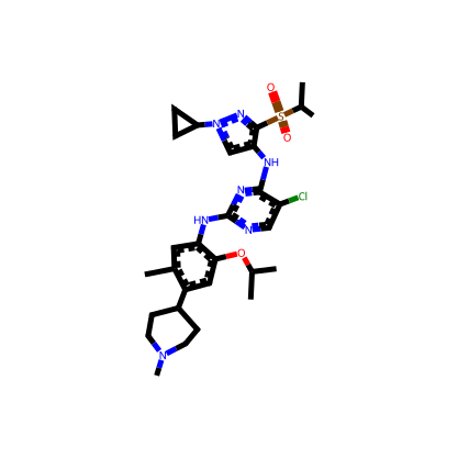 Cc1cc(Nc2ncc(Cl)c(Nc3cn(C4CC4)nc3S(=O)(=O)C(C)C)n2)c(OC(C)C)cc1C1CCN(C)CC1